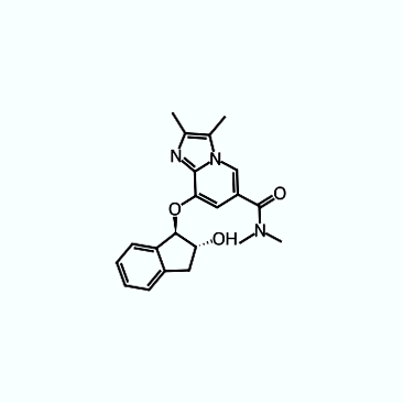 Cc1nc2c(O[C@@H]3c4ccccc4C[C@H]3O)cc(C(=O)N(C)C)cn2c1C